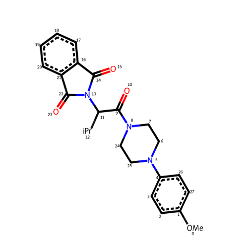 COc1ccc(N2CCN(C(=O)C(C(C)C)N3C(=O)c4ccccc4C3=O)CC2)cc1